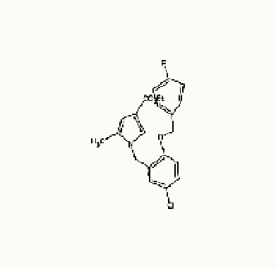 CCOC(=O)c1cc(C)n(Cc2cc(Cl)ccc2OCc2ccc(F)cc2)c1